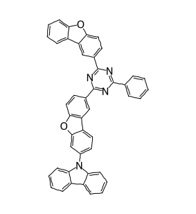 c1ccc(-c2nc(-c3ccc4oc5ccccc5c4c3)nc(-c3ccc4oc5cc(-n6c7ccccc7c7ccccc76)ccc5c4c3)n2)cc1